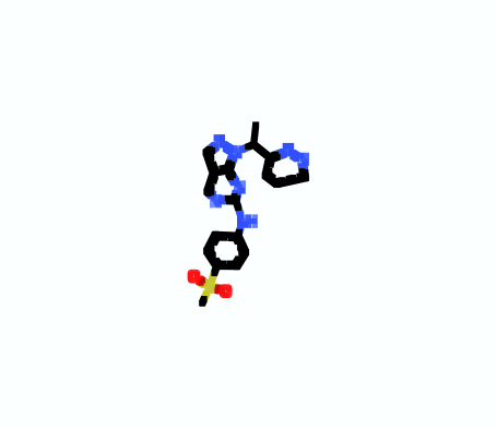 CC(c1cccnn1)n1ncc2cnc(Nc3ccc(S(C)(=O)=O)cc3)nc21